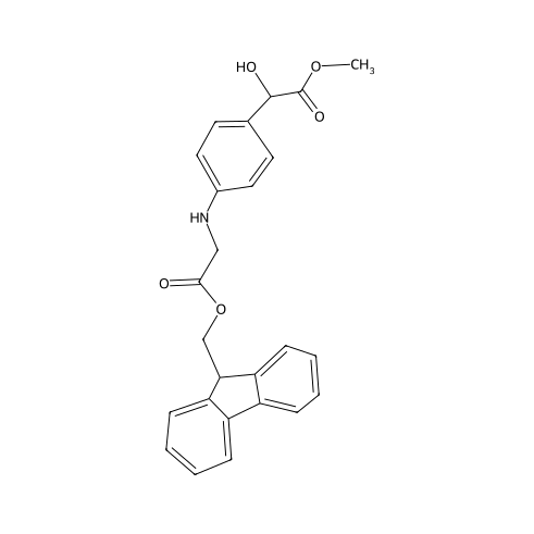 COC(=O)C(O)c1ccc(NCC(=O)OCC2c3ccccc3-c3ccccc32)cc1